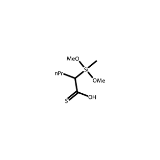 CCCC(C(O)=S)[Si](C)(OC)OC